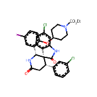 CCOC(=O)N1CCC(Oc2ccc(I)cc2[C@H]2NC(=O)C[C@@H](c3cccc(Cl)c3)[C@]23C(=O)Nc2cc(Cl)ccc23)CC1